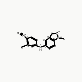 [C-]#[N+]c1ccc(Nc2ccc3c(c2)COB3C)cc1C